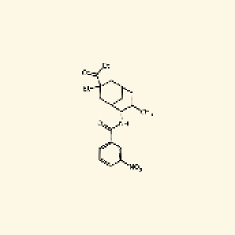 CCC(=O)C1(CC)CC2CC(C)C(NC(=O)c3cccc([N+](=O)[O-])c3)C(C2)C1